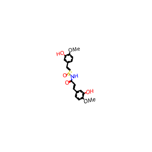 COc1ccc(/C=C/C(=O)N[S+]([O-])/C=C/c2ccc(OC)c(O)c2)cc1O